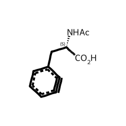 CC(=O)N[C@@H](Cc1c#cccc1)C(=O)O